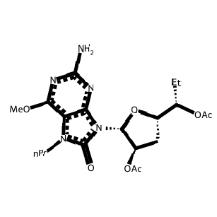 CCCn1c(=O)n([C@@H]2O[C@H]([C@H](CC)OC(C)=O)C[C@H]2OC(C)=O)c2nc(N)nc(OC)c21